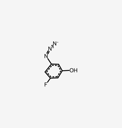 [N-]=[N+]=Nc1cc(O)cc(F)c1